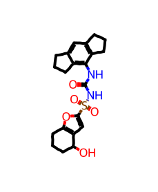 O=C(Nc1c2c(cc3c1CCC3)CCC2)NS(=O)(=O)c1cc2c(o1)CCCC2O